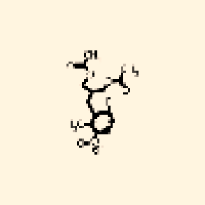 CC(=O)OCC(COC(C)=O)Cc1c(F)ccc([N+](=O)[O-])c1C